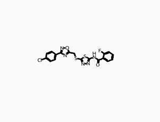 O=C(Nc1nnc(SCc2nc(-c3ccc(Cl)cc3)no2)s1)c1ccccc1F